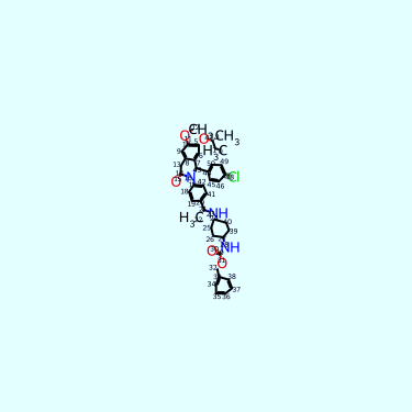 CC[C@@H](C)Oc1cc2c(cc1OC)CC(=O)N(c1ccc(C(C)NC3CCC(NC(=O)OCc4ccccc4)CC3)cc1)C2c1ccc(Cl)cc1